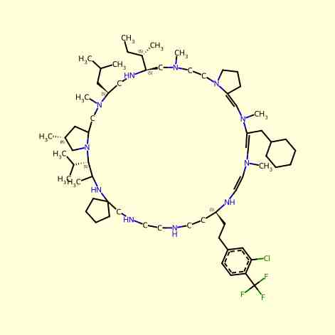 CC[C@H](C)[C@H]1CN(C)CCN2CCCC2=CN(C)C(CC2CCCCC2)=CN(C)C=CN[C@@H](CCc2ccc(C(F)(F)F)c(Cl)c2)CCNCCNCC2(CCCC2)NC(C)[C@H](C(C)C)N2C[C@H](C)CC2CN(C)[C@@H](CC(C)C)CN1